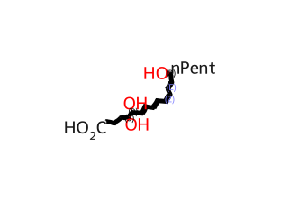 CCCCC[C@@H](O)/C=C/C=C\C=CC=C[C@@H](O)[C@@H](O)CCCC(=O)O